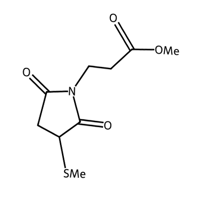 COC(=O)CCN1C(=O)CC(SC)C1=O